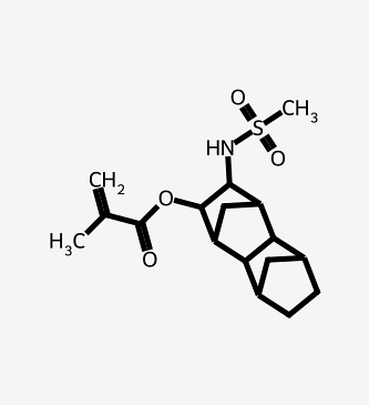 C=C(C)C(=O)OC1C2CC(C1NS(C)(=O)=O)C1C3CCC(C3)C21